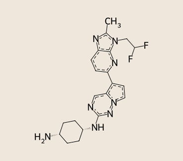 Cc1nc2ccc(-c3ccn4nc(N[C@H]5CC[C@@H](N)CC5)ncc34)nc2n1CC(F)F